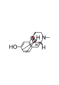 CN1CC[C@]23COC(C)(C)O[C@H]2[C@H]1Cc1ccc(O)cc13